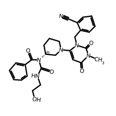 Cn1c(=O)cc(N2CCC[C@@H](N(C(=O)NCCO)C(=O)c3ccccc3)C2)n(Cc2ccccc2C#N)c1=O